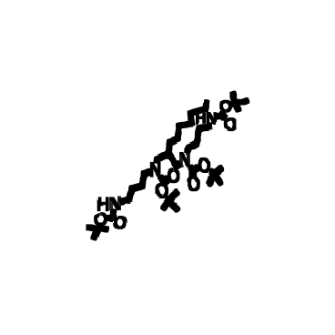 CCCCCCCC(CN(CCCCNC(=O)OC(C)(C)C)C(=O)OC(C)(C)C)CN(CCCCNC(=O)OC(C)(C)C)C(=O)OC(C)(C)C